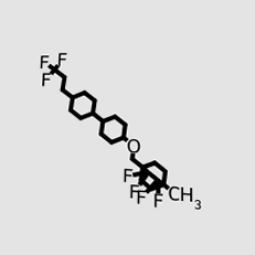 CC12CCC(COC3CCC(C4CCC(CCC(F)(F)F)CC4)CC3)(CC1)C(F)(F)C2(F)F